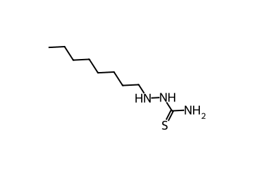 CCCCCCCCNNC(N)=S